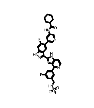 CS(=O)(=O)NCc1cc(F)cc(-c2nccc3[nH]c(-c4n[nH]c5cc(F)c(-c6cncc(NC(=O)C7CCCCC7)c6)cc45)nc23)c1